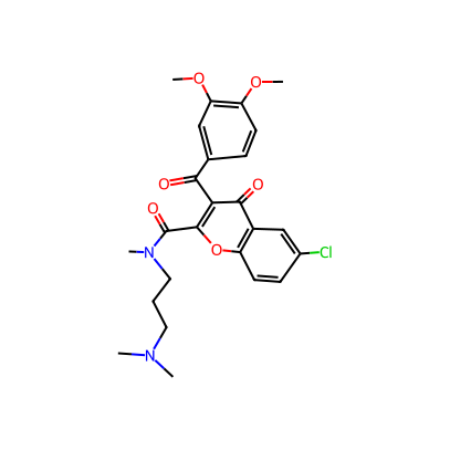 COc1ccc(C(=O)c2c(C(=O)N(C)CCCN(C)C)oc3ccc(Cl)cc3c2=O)cc1OC